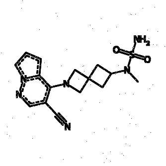 CN(C1CC2(C1)CN(c1c(C#N)cnn3cccc13)C2)S(N)(=O)=O